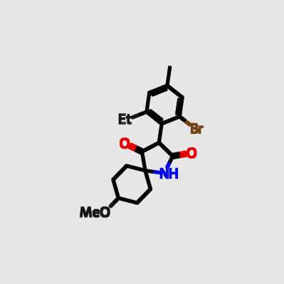 CCc1cc(C)cc(Br)c1C1C(=O)NC2(CCC(OC)CC2)C1=O